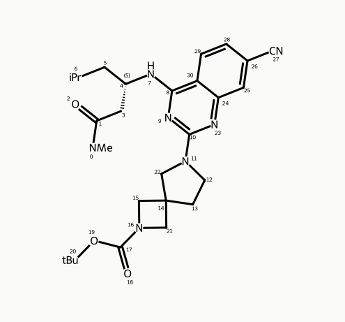 CNC(=O)C[C@H](CC(C)C)Nc1nc(N2CCC3(CN(C(=O)OC(C)(C)C)C3)C2)nc2cc(C#N)ccc12